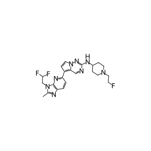 Cc1nc2ccc(-c3ccn4nc(NC5CCN(CCF)CC5)ncc34)nc2n1CC(F)F